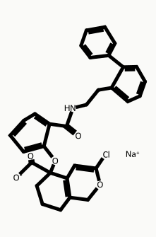 O=C(NCCc1ccccc1-c1ccccc1)c1ccccc1OC1(C(=O)[O-])CCCC2=C1C=C(Cl)OC2.[Na+]